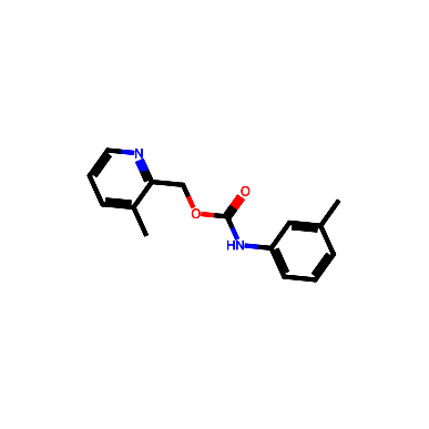 Cc1cccc(NC(=O)OCc2ncccc2C)c1